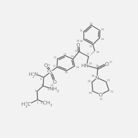 CC(C)CC(N)C(N)S(=O)(=O)c1ccc(C(=O)[C@H](Cc2ccccc2)NC(=O)N2CCOCC2)cc1